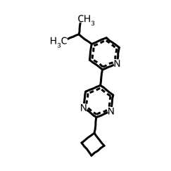 CC(C)c1ccnc(-c2cnc(C3CCC3)nc2)c1